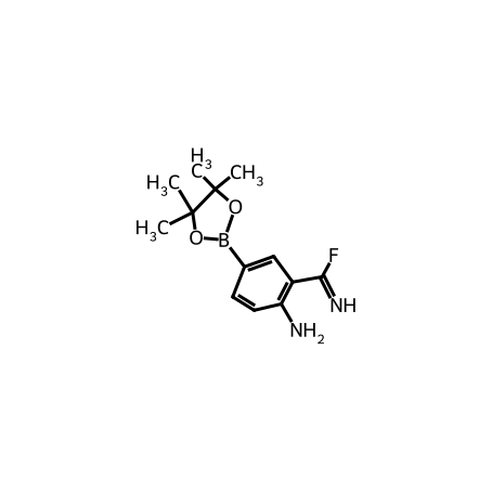 CC1(C)OB(c2ccc(N)c(C(=N)F)c2)OC1(C)C